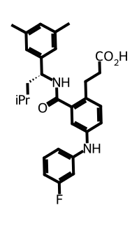 Cc1cc(C)cc([C@@H](CC(C)C)NC(=O)c2cc(Nc3cccc(F)c3)ccc2CCC(=O)O)c1